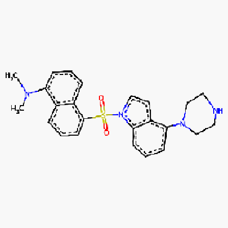 CN(C)c1cccc2c(S(=O)(=O)n3ccc4c(N5CCNCC5)cccc43)cccc12